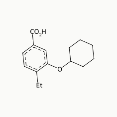 CCc1ccc(C(=O)O)cc1OC1CCCCC1